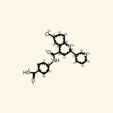 O=C(O)c1ccc(NC(=O)c2cc(-c3cccnc3)nc3ccc(Cl)cc23)cc1